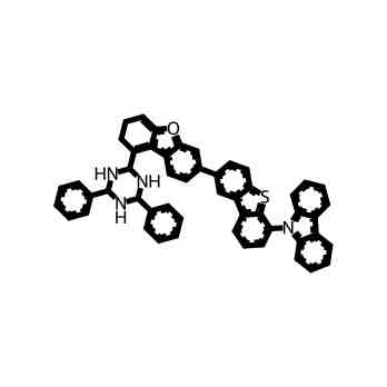 C1=c2oc3cc(-c4ccc5sc6c(-n7c8ccccc8c8ccccc87)cccc6c5c4)ccc3c2=C(C2NC(c3ccccc3)NC(c3ccccc3)N2)CC1